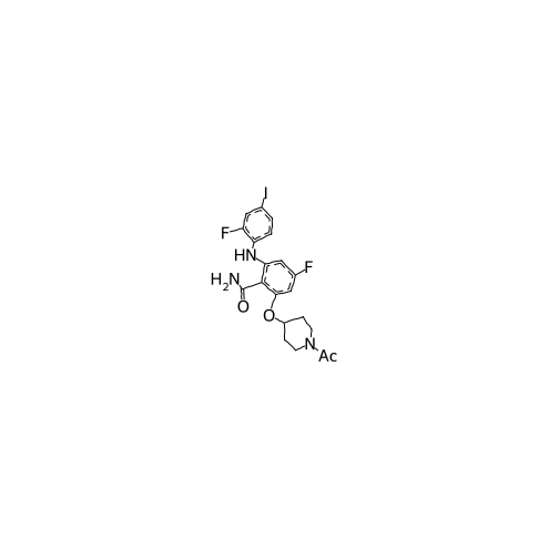 CC(=O)N1CCC(Oc2cc(F)cc(Nc3ccc(I)cc3F)c2C(N)=O)CC1